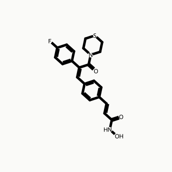 O=C(C=Cc1ccc(C=C(C(=O)N2CCSCC2)c2ccc(F)cc2)cc1)NO